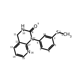 CSc1cccc(N2C(=O)NCc3cccnc32)c1